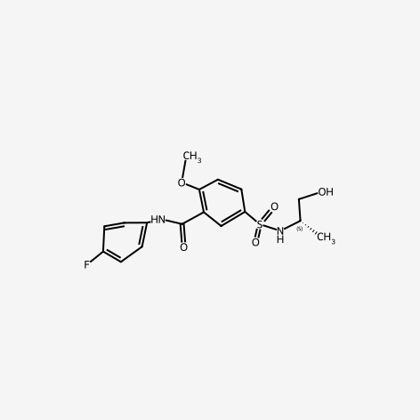 COc1ccc(S(=O)(=O)N[C@@H](C)CO)cc1C(=O)Nc1ccc(F)cc1